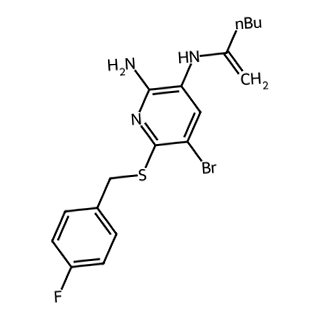 C=C(CCCC)Nc1cc(Br)c(SCc2ccc(F)cc2)nc1N